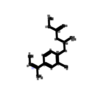 CCc1cc(/C(N)=N\O)ccc1CN(C)CC(=O)OC(C)(C)C